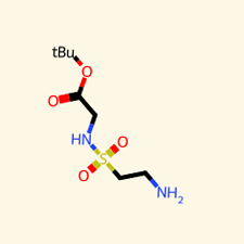 CC(C)(C)OC(=O)CNS(=O)(=O)CCN